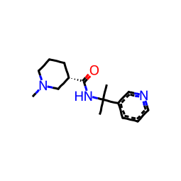 CN1CCC[C@H](C(=O)NC(C)(C)c2cccnc2)C1